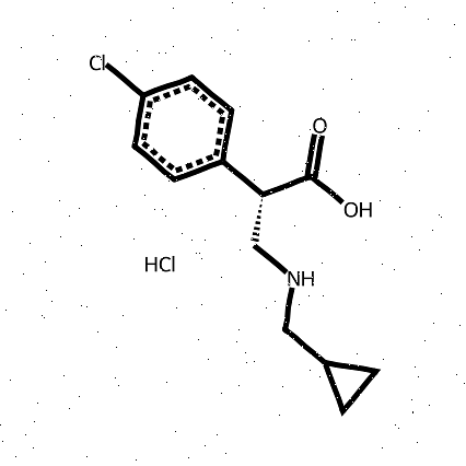 Cl.O=C(O)[C@H](CNCC1CC1)c1ccc(Cl)cc1